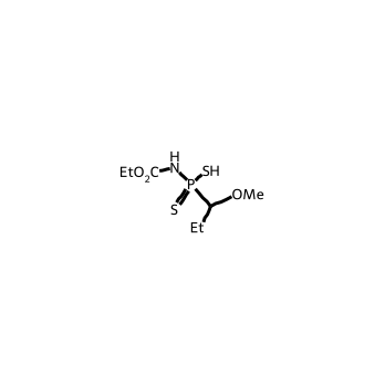 CCOC(=O)NP(=S)(S)C(CC)OC